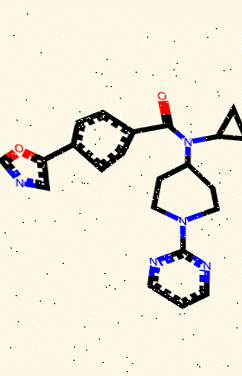 O=C(c1ccc(-c2cnco2)cc1)N(C1CC1)C1CCN(c2ncccn2)CC1